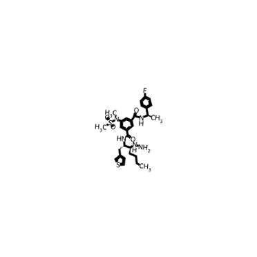 CCCC[C@H](NN)[C@H](Cc1ccsc1)NC(=O)c1cc(C(=O)N[C@H](C)c2ccc(F)cc2)cc(N(C)S(C)(=O)=O)c1